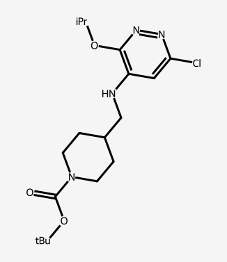 CC(C)Oc1nnc(Cl)cc1NCC1CCN(C(=O)OC(C)(C)C)CC1